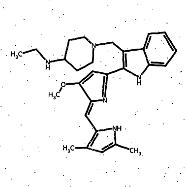 CCNC1CCN(Cc2c(C3=N/C(=C\c4[nH]c(C)cc4C)C(OC)=C3)[nH]c3ccccc23)CC1